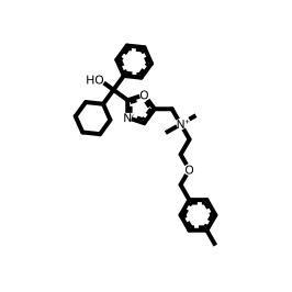 Cc1ccc(COCC[N+](C)(C)Cc2cnc(C(O)(c3ccccc3)C3CCCCC3)o2)cc1